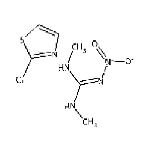 CNC(=N[N+](=O)[O-])NC.Clc1nccs1